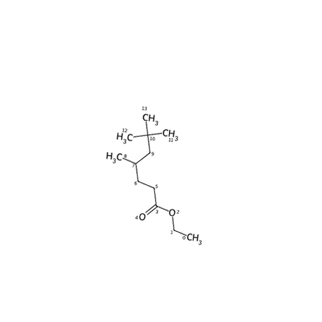 CCOC(=O)CCC(C)CC(C)(C)C